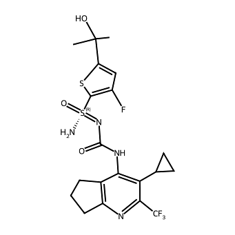 CC(C)(O)c1cc(F)c([S@](N)(=O)=NC(=O)Nc2c3c(nc(C(F)(F)F)c2C2CC2)CCC3)s1